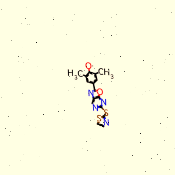 Cc1cc(-c2nc3cnc(Sc4nccs4)nc3o2)cc(C)c1[O]